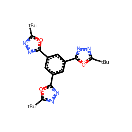 CC(C)(C)c1nnc(-c2cc(-c3nnc(C(C)(C)C)o3)cc(-c3nnc(C(C)(C)C)o3)c2)o1